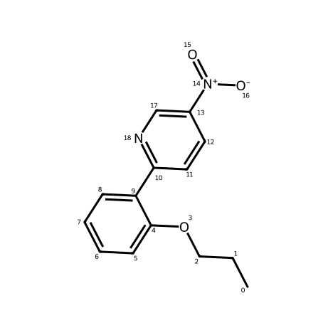 CCCOc1ccccc1-c1ccc([N+](=O)[O-])cn1